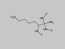 NCCCCC(NF)C(N)(NF)NF